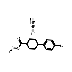 CCc1ccc(C2CCC(C(=O)OSF)CC2)cc1.F.F.F.F.F